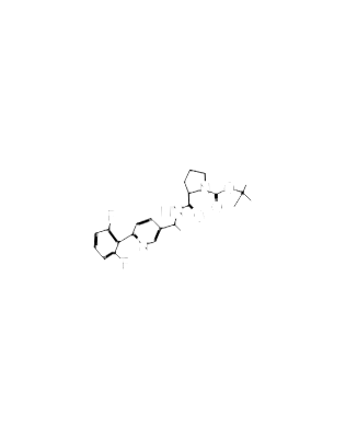 CC(NC(=O)C1CCCN1C(=O)OC(C)(C)C)c1ccc(-c2c(F)cccc2F)nc1